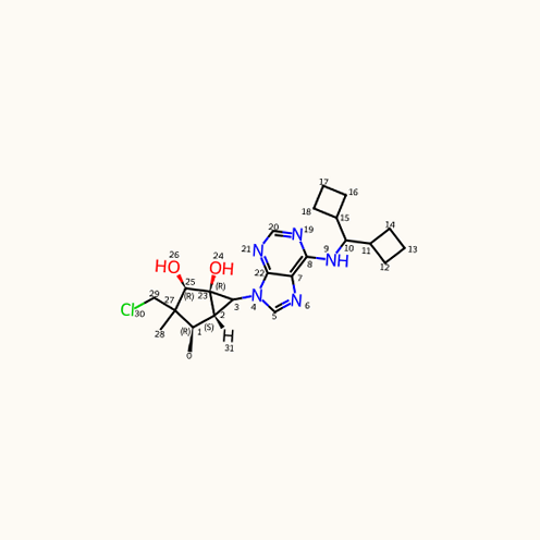 C[C@@H]1[C@H]2C(n3cnc4c(NC(C5CCC5)C5CCC5)ncnc43)[C@@]2(O)[C@H](O)C1(C)CCl